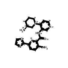 Nc1ccc(-c2ncco2)nc1C(=O)Nc1cnccc1N1CCC[C@H](N)C1